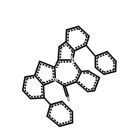 S=c1c2ccccc2n2c(cc3cccc(-c4ccccc4)c32)c2cc3cccc(-c4ccccc4)c3n12